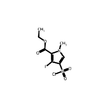 CCOC(=O)c1c(F)c(S(=O)(=O)Cl)cn1C